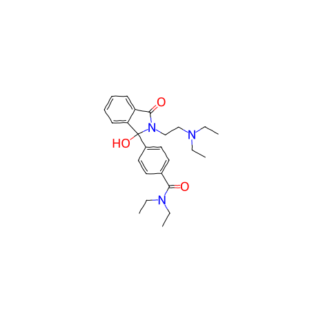 CCN(CC)CCN1C(=O)c2ccccc2C1(O)c1ccc(C(=O)N(CC)CC)cc1